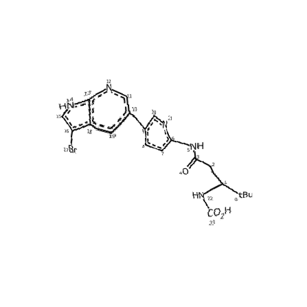 CC(C)(C)C(CC(=O)Nc1ccc(-c2cnc3[nH]cc(Br)c3c2)cn1)NC(=O)O